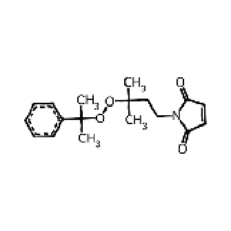 CC(C)(CCN1C(=O)C=CC1=O)OOC(C)(C)c1ccccc1